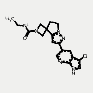 CCNC(=O)N1CC2(CCn3nc(-c4cnc5[nH]cc(Cl)c5c4)cc32)C1